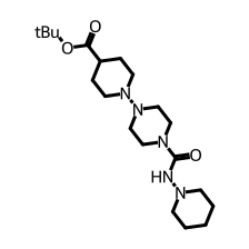 CC(C)(C)OC(=O)C1CCN(N2CCN(C(=O)NN3CCCCC3)CC2)CC1